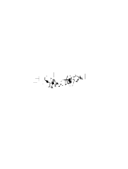 CC(C)(C)OC(=O)NC1CC12CCN(S(=O)(=O)c1ccc(Cl)cc1)CC2